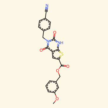 COc1cccc(COC(=O)c2cc3c(=O)n(Cc4ccc(C#N)cc4)c(=O)[nH]c3s2)c1